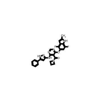 Cc1cc2c(F)c(Oc3ncnc(Nc4cc(-c5ccccc5)[nH]n4)c3C(=O)N3CCC3)cc(F)c2[nH]1